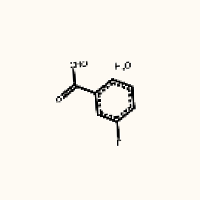 O.O=CC(=O)c1cccc(F)c1